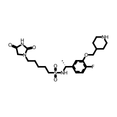 C[C@@H](NS(=O)(=O)CCCCCN1CC(=O)NC1=O)c1ccc(F)c(OCC2CCNCC2)c1